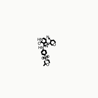 CC1CN(S(=O)(=O)c2ccc(Nc3nn([C@H]4COCC[C@@H]4C#N)c4cc[nH]c(=O)c34)cc2)CCO1